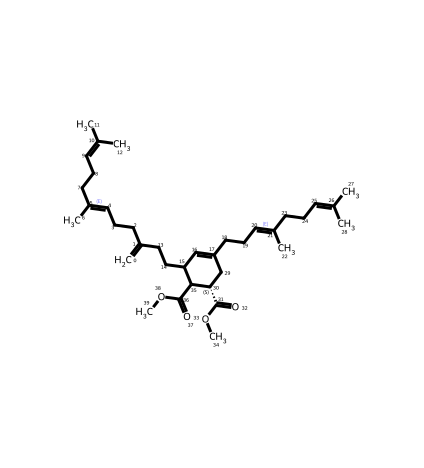 C=C(CC/C=C(\C)CCC=C(C)C)CCC1C=C(CC/C=C(\C)CCC=C(C)C)C[C@H](C(=O)OC)C1C(=O)OC